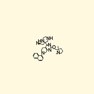 CN1CCC[C@@]1(C)COc1nc2c(c(C3(CC#N)CNCCN3)n1)CCN(c1cccc3ccccc13)C2